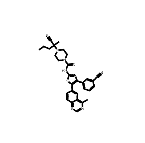 CCCC(C)(C#N)N1CCN(C(=O)Nc2nc(-c3cccc(C#N)c3)c(-c3ccc4ncnc(C)c4c3)s2)CC1